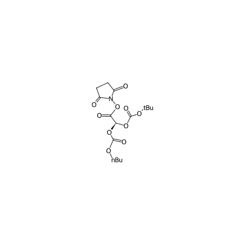 CCCCOC(=O)O[C@H](OC(=O)OC(C)(C)C)C(=O)ON1C(=O)CCC1=O